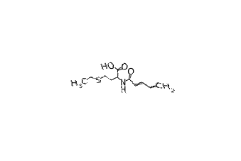 C=CC=CC(=O)NC(CCSCC)C(=O)O